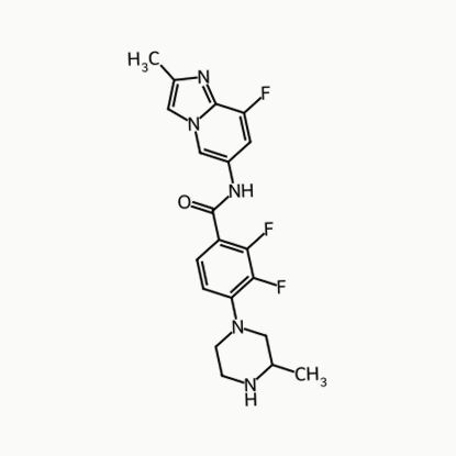 Cc1cn2cc(NC(=O)c3ccc(N4CCNC(C)C4)c(F)c3F)cc(F)c2n1